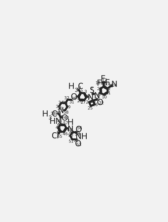 CCc1cc(N2C(=S)N(c3ccc(C#N)c(C(F)(F)F)c3)C(=O)C23CCC3)ccc1OCCC1CCN([C@@H](C)C(=O)Nc2cc(Cl)cc(NC3CCC(=O)NC3=O)c2)CC1